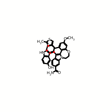 COc1cc2c(c([C@H](Cc3c[nH]c4ccc(O)cc34)c3csc(C)n3)c1)-c1c(C3CCCCC3)c3ccc(C(N)=O)cc3n1CCO2